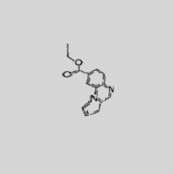 CCOC(=O)c1ccc2ncc3cccn3c2c1